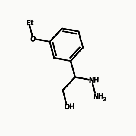 CCOc1cccc(C(CO)NN)c1